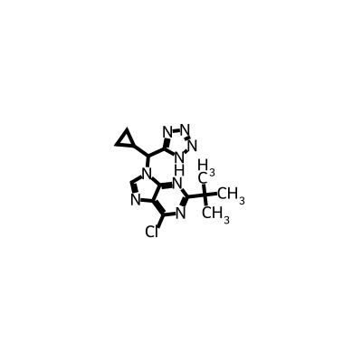 CC(C)(C)c1nc(Cl)c2ncn(C(c3nnn[nH]3)C3CC3)c2n1